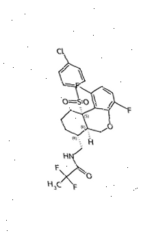 CC(F)(F)C(=O)NC[C@@H]1CCC[C@@]2(S(=O)(=O)c3ccc(Cl)cc3)c3c(F)ccc(F)c3OC[C@@H]12